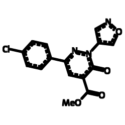 COC(=O)c1cc(-c2ccc(Cl)cc2)nn(-c2cnoc2)c1=O